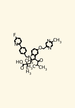 Cc1cnc(COc2ccc3c(c2)c(C(=O)C(C)C)c(CC(C)(C)C(=O)O)n3Cc2ccc(-c3ccc(F)cn3)cc2)cn1